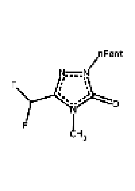 CCCCCn1nc(C(F)F)n(C)c1=O